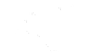 C[S+]([O-])c1nc(Nc2ccc(N3CCOCC3)cc2)cc(N2CCN(C=O)CC2)n1